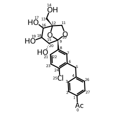 CC(=O)c1ccc(Cc2cc([C@]34OC[C@](CO)(O3)C(O)C(O)[C@H]4O)ccc2Cl)cc1